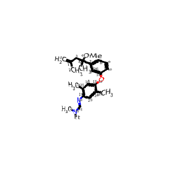 C=C(C)CC(C)(OC)c1cccc(Oc2cc(C)c(N=CN(C)CC)cc2C)c1